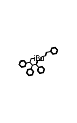 CCC(C)CC(c1ccccc1)C(C(=CCCC=Cc1ccccc1)c1ccccc1)c1ccccc1